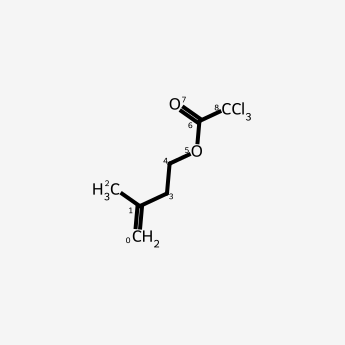 C=C(C)CCOC(=O)C(Cl)(Cl)Cl